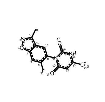 Cc1noc2cc(F)c(-n3c(=O)cc(C(F)(F)F)[nH]c3=O)cc12